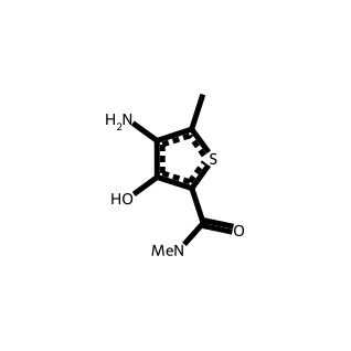 CNC(=O)c1sc(C)c(N)c1O